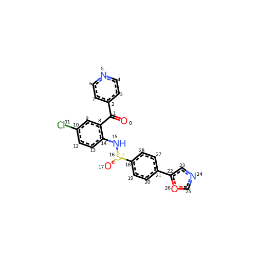 O=C(c1ccncc1)c1cc(Cl)ccc1N[S+]([O-])c1ccc(-c2cnco2)cc1